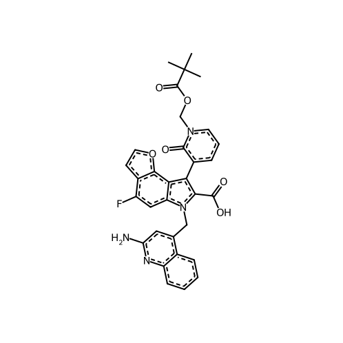 CC(C)(C)C(=O)OCn1cccc(-c2c(C(=O)O)n(Cc3cc(N)nc4ccccc34)c3cc(F)c4ccoc4c23)c1=O